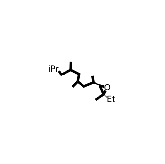 CC[C@@]1(C)O[C@@H]1C(C)CC(C)CC(C)CC(C)C